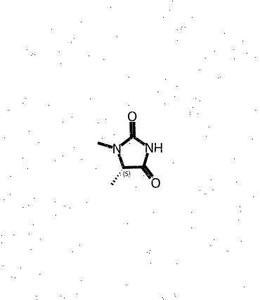 C[C@H]1C(=O)NC(=O)N1C